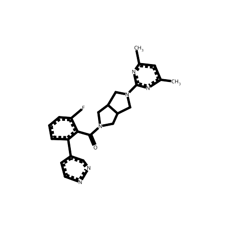 Cc1cc(C)nc(N2CC3CN(C(=O)c4c(F)cccc4-c4ccnnc4)CC3C2)n1